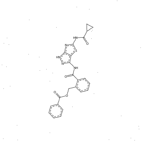 O=C(OCc1ccccc1C(=O)Nc1n[nH]c2nc(NC(=O)C3CC3)sc12)c1ccccc1